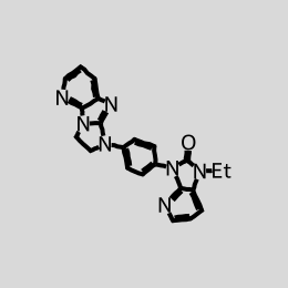 CCn1c(=O)n(-c2ccc(N3CCn4c3nc3cccnc34)cc2)c2ncccc21